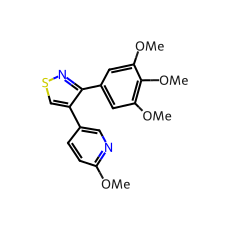 COc1ccc(-c2csnc2-c2cc(OC)c(OC)c(OC)c2)cn1